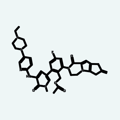 C=C1Cc2cc3n(c2C1)CCN(c1cc(F)cc(-c2cc(Nc4ccc(N5CCN(CC)CC5)cn4)c(=O)n(C)c2)c1COC(C)=O)C3=O